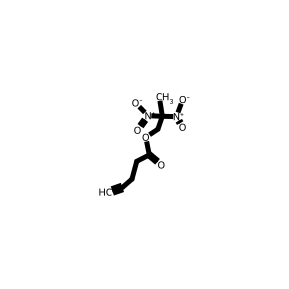 C#CCCC(=O)OCC(C)([N+](=O)[O-])[N+](=O)[O-]